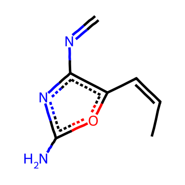 C=Nc1nc(N)oc1/C=C\C